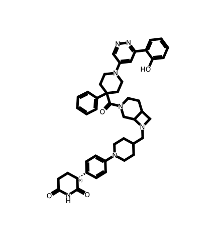 O=C1CC[C@H](c2ccc(N3CCC(CN4CC5CCN(C(=O)C6(c7ccccc7)CCN(c7cnnc(-c8ccccc8O)c7)CC6)CC54)CC3)cc2)C(=O)N1